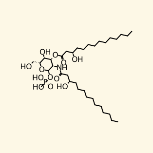 CCCCCCCCCCC[C@@H](O)CC(=O)N[C@H]1[C@@H](OP(=O)(O)O)O[C@H](CO)[C@@H](O)[C@@H]1OC(=O)C[C@H](O)CCCCCCCCCCC